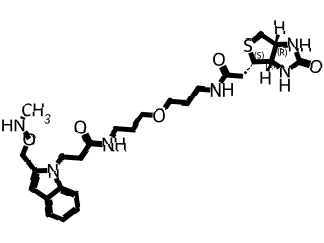 CNOCc1cc2ccccc2n1CCC(=O)NCCCOCCCNC(=O)C[C@@H]1SC[C@@H]2NC(=O)N[C@@H]21